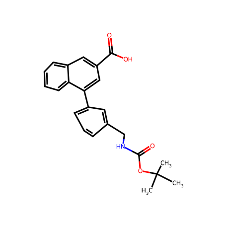 CC(C)(C)OC(=O)NCc1cccc(-c2cc(C(=O)O)cc3ccccc23)c1